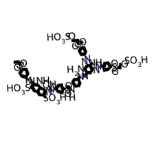 C=CS(=O)(=O)c1ccc(/N=N/c2c(S(=O)(=O)O)cc3cc(S(=O)(=O)O)c(/N=N/c4ccc(S(=O)(=O)Nc5ccc(/N=N/c6cc(/N=N/c7ccc(S(=O)(=O)CCOS(=O)(=O)O)cc7)c(N)c(/N=N/c7ccc(S(=O)(=O)CCOS(=O)(=O)O)cc7)c6N)cc5)cc4)c(O)c3c2N)cc1